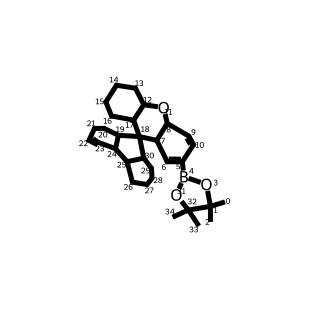 CC1(C)OB(C2=CC3C(C=C2)OC2CCCCC2C32C3CCC=CC3C3CCCCC32)OC1(C)C